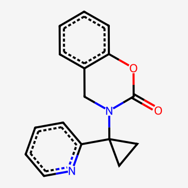 O=C1Oc2ccccc2CN1C1(c2ccccn2)CC1